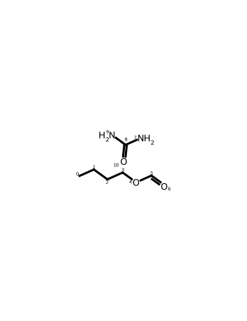 CCCCOC=O.NC(N)=O